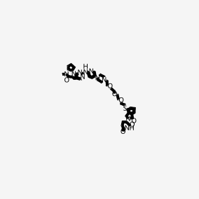 CN(C)C(=O)c1cc2cnc(Nc3ccc(N4CCN(CCOCCOCCOCCSc5cccc6c5CN(C5CCC(=O)NC5=O)C6=O)CC4)cn3)nc2n1C1CCCC1